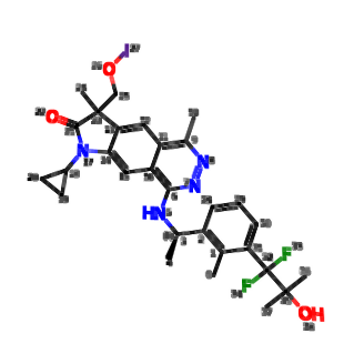 Cc1c([C@@H](C)Nc2nnc(C)c3cc4c(cc23)N(C2CC2)C(=O)C4(C)COI)cccc1C(F)(F)C(C)(C)O